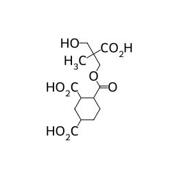 CC(CO)(COC(=O)C1CCC(C(=O)O)CC1C(=O)O)C(=O)O